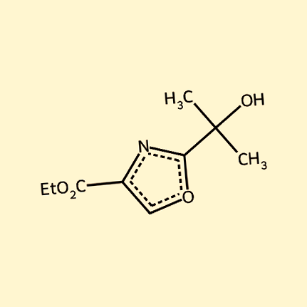 CCOC(=O)c1coc(C(C)(C)O)n1